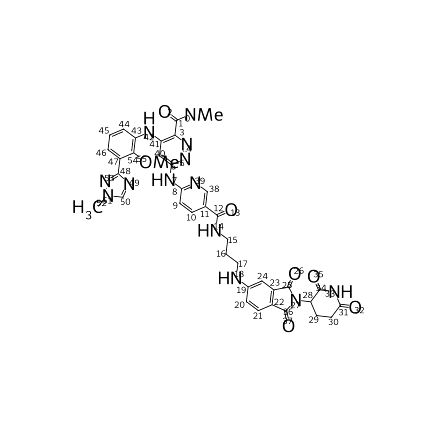 CNC(=O)c1nnc(Nc2ccc(C(=O)NCCCNc3ccc4c(c3)C(=O)N(C3CCC(=O)NC3=O)C4=O)cn2)cc1Nc1cccc(-c2ncn(C)n2)c1OC